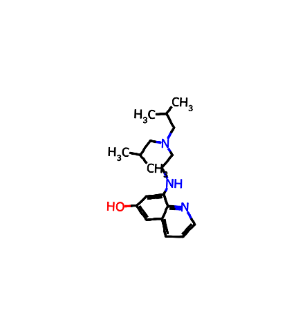 CC(C)CN(CCNc1cc(O)cc2cccnc12)CC(C)C